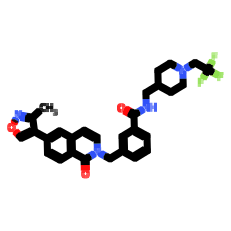 Cc1nocc1-c1ccc2c(=O)n(Cc3cccc(C(=O)NCC4CCN(CC(F)(F)F)CC4)c3)ccc2c1